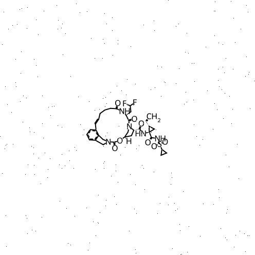 C=C[C@@H]1C[C@]1(NC(=O)[C@@H]1C[C@@H]2CN1C(=O)[C@H](CC(F)F)NC(=O)CCC/C=C/c1cccc3c1CN(C3)C(=O)O2)C(=O)NS(=O)(=O)C1CC1